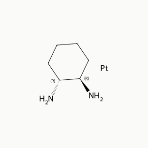 N[C@@H]1CCCC[C@H]1N.[Pt]